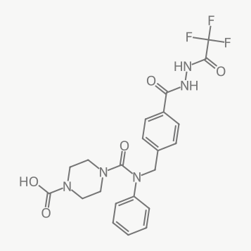 O=C(NNC(=O)C(F)(F)F)c1ccc(CN(C(=O)N2CCN(C(=O)O)CC2)c2ccccc2)cc1